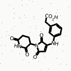 O=C(O)Cc1cccc(NC2=CC(=O)N(C3CCC(=O)NC3=O)C2=O)c1